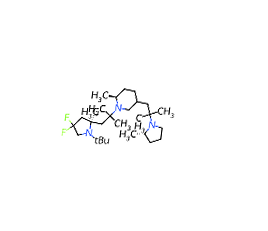 C[C@H]1CCCN1C(C)(C)CC1CC[C@H](C)N(C(C)(C)C[C@]2(C)CC(F)(F)CN2C(C)(C)C)C1